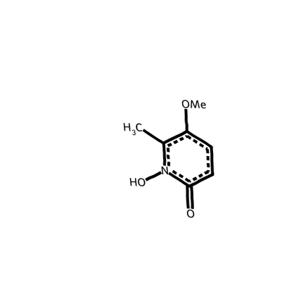 COc1ccc(=O)n(O)c1C